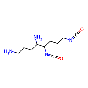 NCCCC(N)C(CCCN=C=O)N=C=O